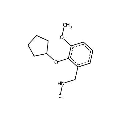 COc1cccc(CNCl)c1OC1CCCC1